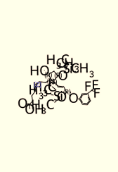 CC[Si](CC)(CC)O[C@H](C=C[C@H]1[C@@H](C/C=C\CCCC(=O)O)[C@H](O)C[C@H]1O[Si](CC)(CC)CC)COc1cccc(C(F)(F)F)c1